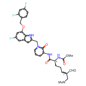 CNC/C(C=O)=C/CC[C@H](NC(=O)OC)C(=O)Nc1cccn(Cc2cc3cc(F)cc(OCc4ccc(F)cc4F)c3[nH]2)c1=O